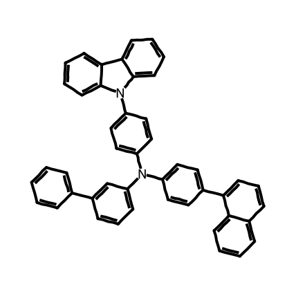 c1ccc(-c2cccc(N(c3ccc(-c4cccc5ccccc45)cc3)c3ccc(-n4c5ccccc5c5ccccc54)cc3)c2)cc1